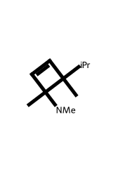 CNC1(C)C=CC1(C)C(C)C